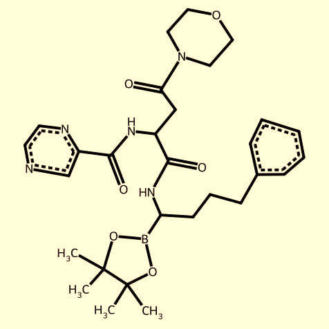 CC1(C)OB(C(CCCc2ccccc2)NC(=O)C(CC(=O)N2CCOCC2)NC(=O)c2cnccn2)OC1(C)C